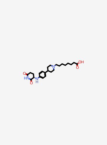 O=C(O)CCCCCCCN1CCC(c2ccc(N[C@@H]3CCC(=O)NC3=O)cc2)CC1